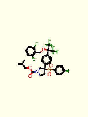 CC(C)COC(=O)N1CCC(c2ccc(C(OCc3c(F)cccc3F)(C(F)(F)F)C(F)(F)F)cc2)(S(=O)(=O)c2ccc(F)cc2)C1